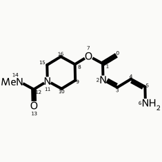 C=C(/N=C\C=C/N)OC1CCN(C(=O)NC)CC1